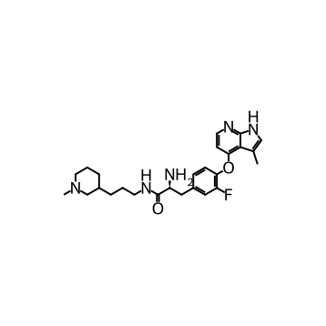 Cc1c[nH]c2nccc(Oc3ccc(C[C@H](N)C(=O)NCCCC4CCCN(C)C4)cc3F)c12